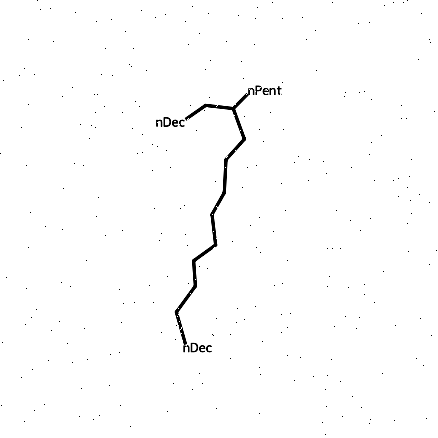 [CH2]CCCCC(CCCCCCCCCCC)CCCCCCCCCCCCCCCCCC